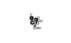 COCCN1C(=O)c2c(O)c(=O)ccn2N2C(c3ccc(F)cc3)CCCC12